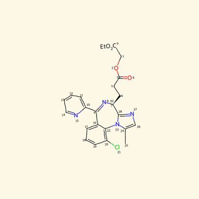 CCOC(=O)COC(=O)CC[C@@H]1N=C(c2ccccn2)c2cccc(Cl)c2-n2c(C)cnc21